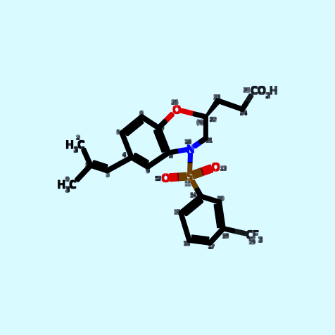 CC(C)=Cc1ccc2c(c1)N(S(=O)(=O)c1cccc(C(F)(F)F)c1)C[C@H](CCC(=O)O)O2